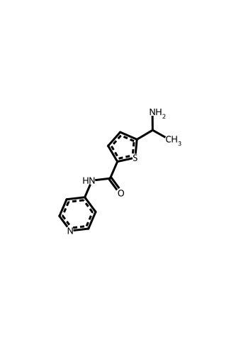 CC(N)c1ccc(C(=O)Nc2ccncc2)s1